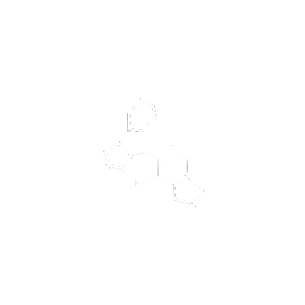 OC1c2cnnn2CC[C@H]1[C@H]1c2ccccc2-c2cncn21